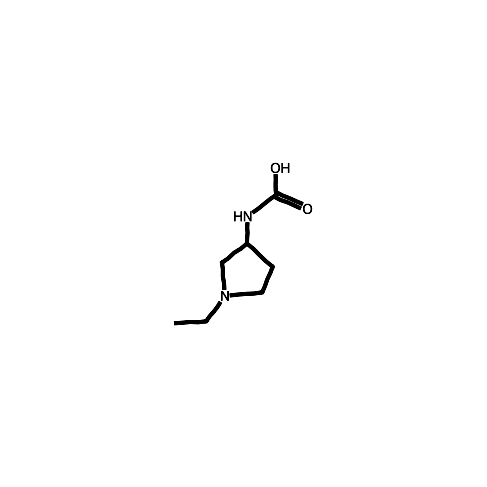 CCN1CCC(NC(=O)O)C1